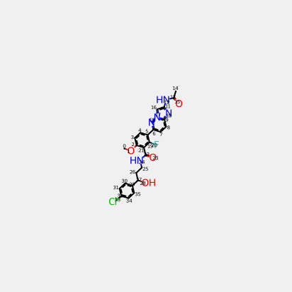 COc1ccc(-c2ccc3nc(NC(C)=O)cn3n2)c(F)c1C(=O)NCCC(O)c1ccc(Cl)cc1